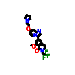 COc1cc(-c2cnc3cc(OCCN4CCCC4)ccn23)cc2c1C(=O)N(CC(F)(F)F)CC2